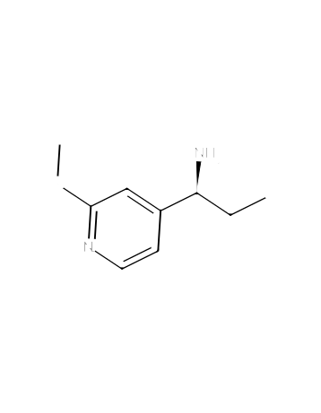 CC[C@H](N)c1ccnc(SC)c1